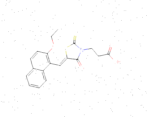 CCOc1ccc2ccccc2c1/C=C1\SC(=S)N(CCC(=O)O)C1=O